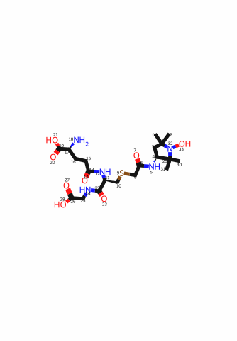 CC1(C)C[C@@H](NC(=O)CSC[C@H](NC(=O)CC[C@H](N)C(=O)O)C(=O)NCC(=O)O)C(C)(C)N1O